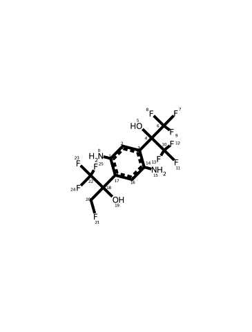 Nc1cc(C(O)(C(F)(F)F)C(F)(F)F)c(N)cc1C(O)(CF)C(F)(F)F